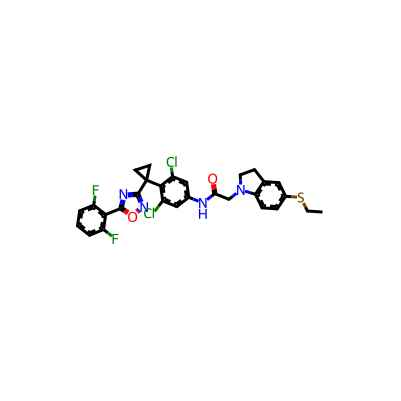 CCSc1ccc2c(c1)CCN2CC(=O)Nc1cc(Cl)c(C2(c3noc(-c4c(F)cccc4F)n3)CC2)c(Cl)c1